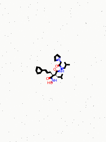 CC(C)C[C@@H](C(=O)NN(CC(C)C)C(=O)Cn1cccc1)[C@H](CC=Cc1ccccc1)C(=O)NO